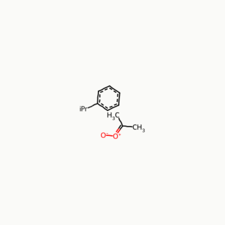 CC(C)=[O+][O-].CC(C)c1ccccc1